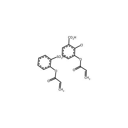 C=CC(=O)Oc1cccc(C(=O)O)c1Cl.C=CC(=O)Oc1ccccc1S(=O)(=O)O